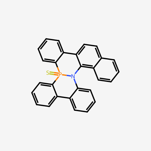 S=P12c3ccccc3-c3ccccc3N1c1c(ccc3ccccc13)-c1ccccc12